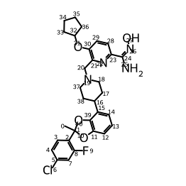 CC1(c2ccc(Cl)cc2F)Oc2cccc(C3CCN(Cc4nc(/C(N)=N\O)ccc4OC4CCCC4)CC3)c2O1